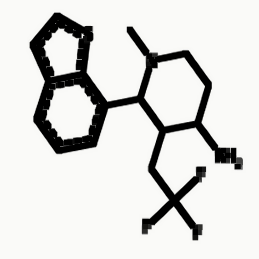 CN1CCC(N)C(CC(F)(F)F)C1c1cccc2ccsc12